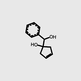 OC(c1ccccc1)C1(O)CC=CC1